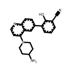 N#Cc1cccc(-c2ccc3nccc(N4CCC(N)CC4)c3c2)c1O